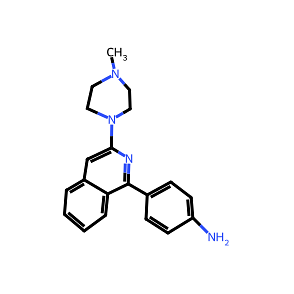 CN1CCN(c2cc3ccccc3c(-c3ccc(N)cc3)n2)CC1